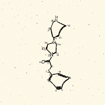 O=C(CSc1cc[c]cc1)N1CCN(C2CCNCC2)CC1